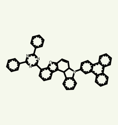 C1=CC2C(c3ccccc3N2c2ccc3c4ccccc4c4ccccc4c3c2)c2c1oc1c(-c3nc(-c4ccccc4)nc(-c4ccccc4)n3)cccc21